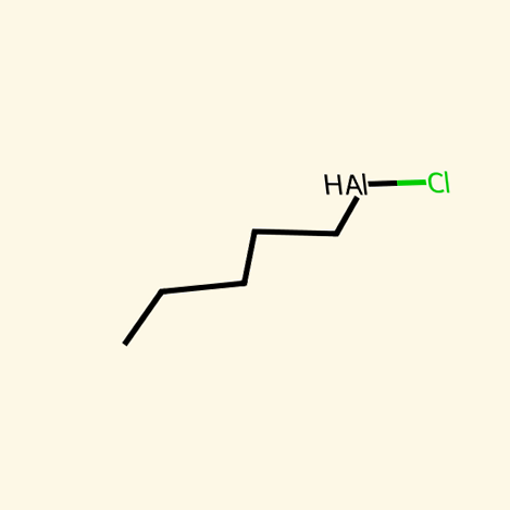 CCCC[CH2][AlH][Cl]